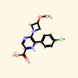 COC1CN(c2ncc(C(=O)O)nc2-c2ccc(Cl)cc2)C1